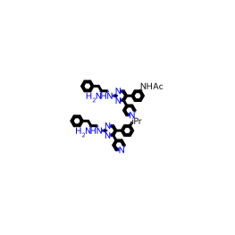 CC(=O)Nc1cccc(-c2cnc(NCC(N)Cc3ccccc3)nc2-c2ccncc2)c1.CC(C)c1cccc(-c2cnc(NCC(N)Cc3ccccc3)nc2-c2ccncc2)c1